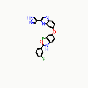 O=C(Nc1ccc(Oc2ccc3ncc(-c4cn[nH]c4)nc3c2)cc1F)c1cccc(F)c1